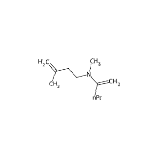 C=C(C)CCN(C)C(=C)CCC